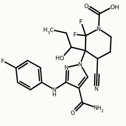 CCC(O)C1(n2cc(C(N)=O)c(Nc3ccc(F)cc3)n2)C(C#N)CCN(C(=O)O)C1(F)F